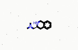 CN(C)C[C@@H]1Cc2ccccc2CN1